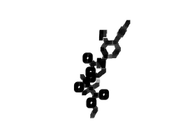 CC#Cc1ccc(N2C[C@H](C[C@](C)(C(=O)OCC)S(C)(=O)=O)OC2=O)cc1F